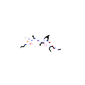 C=CCNC(=O)C(=O)C(CCC)NC(=O)[C@@H]1[C@@H]2[C@H](CN1C(=O)[C@@H](NC(=O)N[C@H](CN(C)S(=O)(=O)NCCCCl)C(C)(C)C)C(C)(C)C)C2(C)C